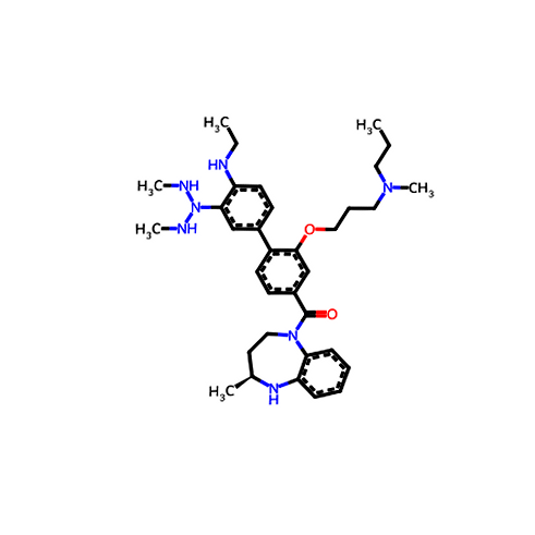 CCCN(C)CCCOc1cc(C(=O)N2CC[C@H](C)Nc3ccccc32)ccc1-c1ccc(NCC)c(N(NC)NC)c1